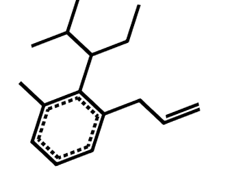 C=CCc1cccc(C)c1C(CC)C(C)C